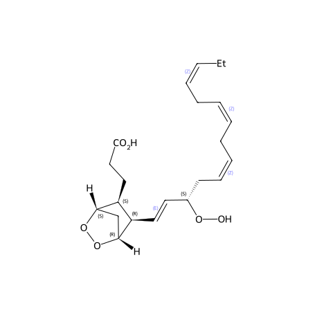 CC/C=C\C/C=C\C/C=C\C[C@@H](/C=C/[C@@H]1[C@H](CCC(=O)O)[C@@H]2C[C@H]1OO2)OO